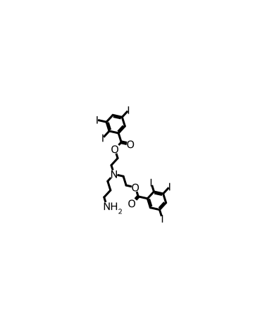 NCCCN(CCOC(=O)c1cc(I)cc(I)c1I)CCOC(=O)c1cc(I)cc(I)c1I